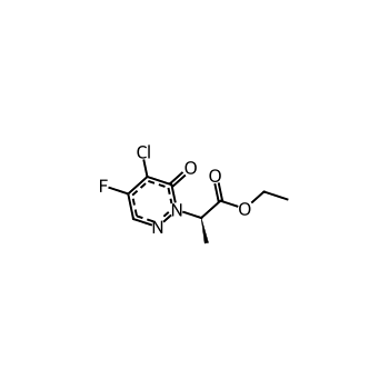 CCOC(=O)[C@@H](C)n1ncc(F)c(Cl)c1=O